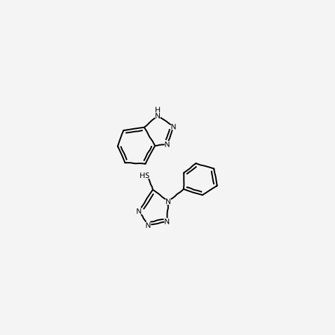 Sc1nnnn1-c1ccccc1.c1ccc2[nH]nnc2c1